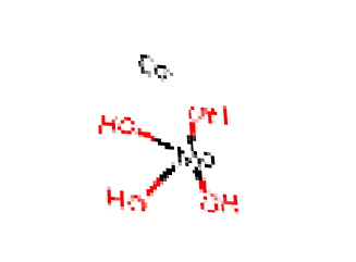 [Co].[OH][Mo]([OH])([OH])[OH]